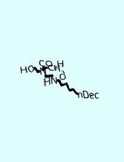 CCCCCCCCCCCCCCCC(=O)NCCN(CCO)C(C)C(=O)O